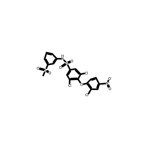 CS(=O)(=O)c1cccc(NS(=O)(=O)c2cc(Cl)c(Oc3ccc([N+](=O)[O-])cc3Cl)c(Cl)c2)c1